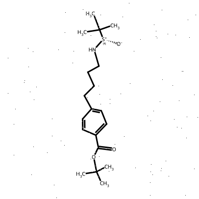 CC(C)(C)OC(=O)c1ccc(CCCCN[S@@+]([O-])C(C)(C)C)cc1